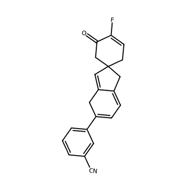 N#Cc1cccc(C2=CC=C3CC4(C=C3C2)CC=C(F)C(=O)C4)c1